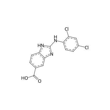 O=C(O)c1ccc2[nH]c(Nc3ccc(Cl)cc3Cl)nc2c1